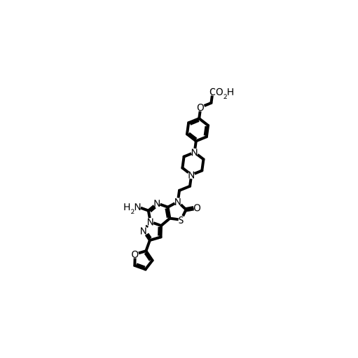 Nc1nc2c(sc(=O)n2CCN2CCN(c3ccc(OCC(=O)O)cc3)CC2)c2cc(-c3ccco3)nn12